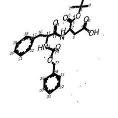 CC(C)(C)OC(=O)C(CC(=O)O)NC(=O)C(Cc1ccccc1)NC(=O)OCc1ccccc1